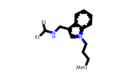 CCC(CC)NCc1cn(CCCOC)c2ccccc12